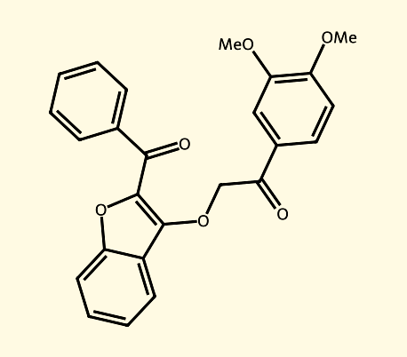 COc1ccc(C(=O)COc2c(C(=O)c3ccccc3)oc3ccccc23)cc1OC